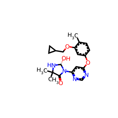 Cc1ccc(Oc2cc(N3C(=O)C(C)(C)N[C@@H]3O)ncn2)cc1OCC1CC1